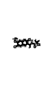 CCC(C)(C)[S+]([O-])NC(C)c1cc2cc(Cl)c(OC(C)C)cc2nc1Cl